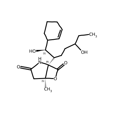 CCC(O)CCC([C@@H](O)C1C=CCCC1)[C@@]12NC(=O)C[C@]1(C)OC2=O